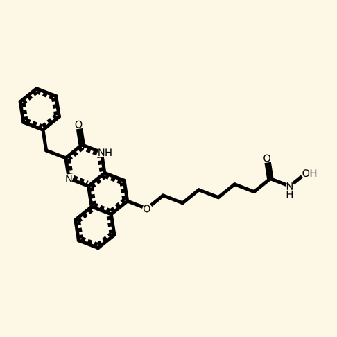 O=C(CCCCCCOc1cc2[nH]c(=O)c(Cc3ccccc3)nc2c2ccccc12)NO